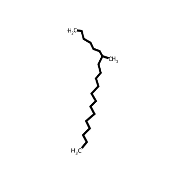 [CH2]CCCCCC(C)CCCCCCCCCCCCC